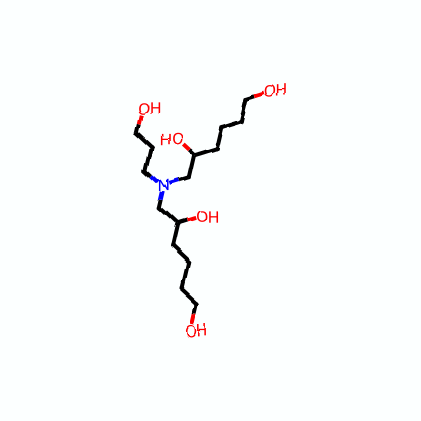 OCCCCC(O)CN(CCCO)CC(O)CCCCO